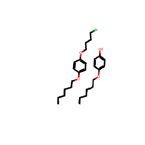 CCCCCCOc1ccc(O)cc1.CCCCCCOc1ccc(OCCCCBr)cc1